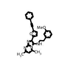 COc1cccc(CCNc2c(-c3ccc(C#Cc4ccccc4)o3)nc3nc(C)cc(C)n23)c1